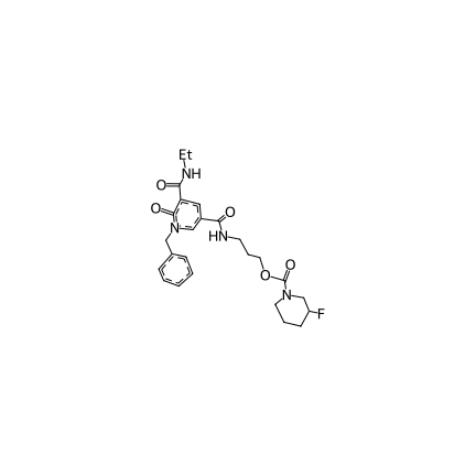 CCNC(=O)c1cc(C(=O)NCCCOC(=O)N2CCCC(F)C2)cn(Cc2ccccc2)c1=O